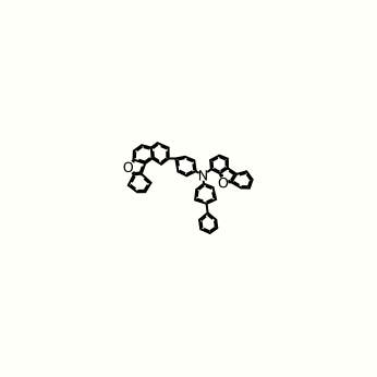 c1ccc(-c2ccc(N(c3ccc(-c4ccc5ccc6oc7ccccc7c6c5c4)cc3)c3cccc4c3oc3ccccc34)cc2)cc1